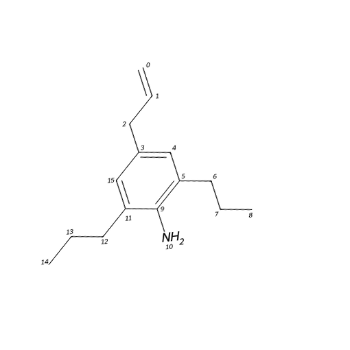 C=CCc1cc(CCC)c(N)c(CCC)c1